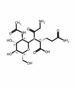 CC(=O)N[C@H]1C(N(C(=O)CN)[C@H](CCC(N)=O)C(=O)O)O[C@H](CO)[C@@H](O)[C@@H]1O